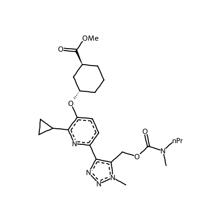 CCCN(C)C(=O)OCc1c(-c2ccc(O[C@H]3CCC[C@H](C(=O)OC)C3)c(C3CC3)n2)nnn1C